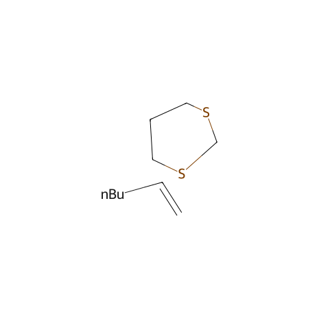 C1CSCSC1.C=CCCCC